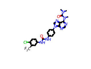 CN(C)C(=O)N(C)c1ncnc2c1ncn2-c1ccc(NC(=O)Nc2ccc(Cl)c(C(F)(F)F)c2)cc1